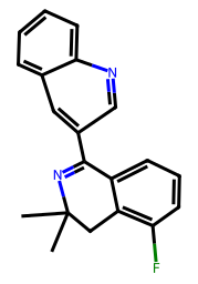 CC1(C)Cc2c(F)cccc2C(c2cnc3ccccc3c2)=N1